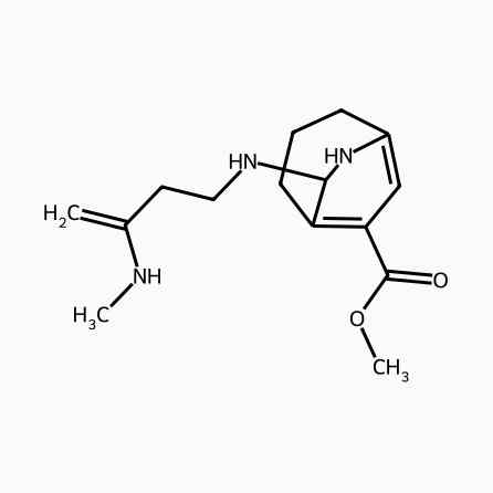 C=C(CCNC1NC2=CC(C(=O)OC)=C1CCC2)NC